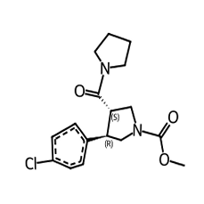 COC(=O)N1C[C@@H](C(=O)N2CCCC2)[C@H](c2ccc(Cl)cc2)C1